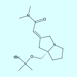 CN(C)C(=O)C=C1CN2CCC[C@@]2(CO[Si](C)(C)C(C)(C)C)C1